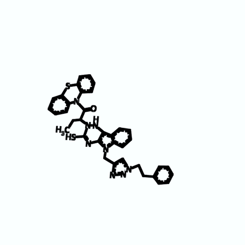 CCC(C(=O)N1c2ccccc2Sc2ccccc21)N1Nc2c(n(Cc3cn(CCc4ccccc4)nn3)c3ccccc23)N=C1S